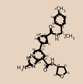 Cc1ccc([C@H](C)NC(=O)c2cc(-c3cc(C(=O)N[C@H]4CCOC4)c4nc(N)nn4c3)cs2)cc1